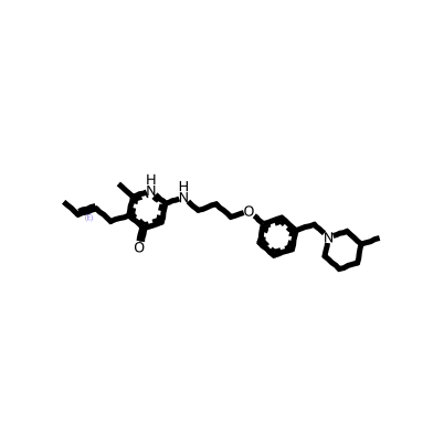 C/C=C/Cc1c(C)[nH]c(NCCCOc2cccc(CN3CCCC(C)C3)c2)cc1=O